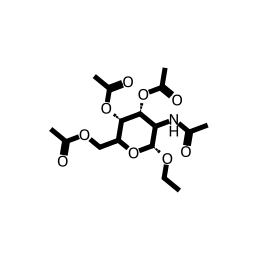 CCO[C@@H]1OC(COC(C)=O)[C@H](OC(C)=O)[C@H](OC(C)=O)C1NC(C)=O